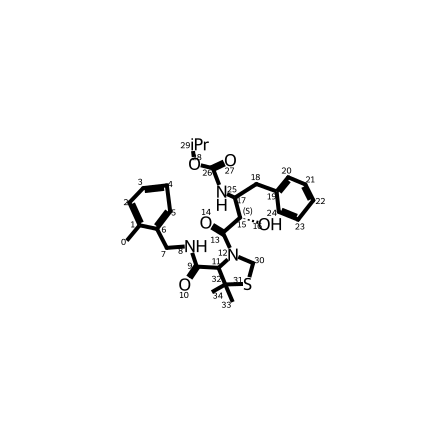 Cc1ccccc1CNC(=O)C1N(C(=O)[C@@H](O)C(Cc2ccccc2)NC(=O)OC(C)C)CSC1(C)C